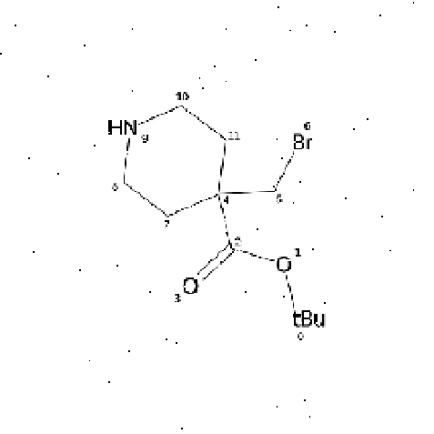 CC(C)(C)OC(=O)C1(CBr)CCNCC1